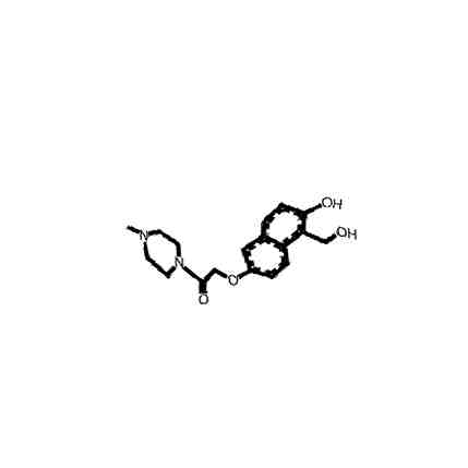 CN1CCN(C(=O)COc2ccc3c(CO)c(O)ccc3c2)CC1